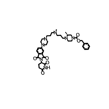 C[C@H]1CN(C(=O)OCc2ccccc2)CCN1CCCN(C)CCCN1CCN(c2ccc3c(c2)C(=O)N(C2CCC(=O)NC2=O)C3=O)CC1